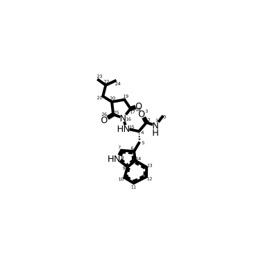 CNC(=O)[C@H](Cc1c[nH]c2ccccc12)NN1C(=O)CC(CC(C)C)C1=O